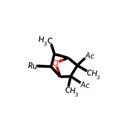 CC(=O)C1(C)C2OC([CH]([Ru])C2C)C1(C)C(C)=O